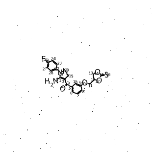 Nc1c(C(=O)c2cccc(OCC3COC(=S)O3)c2)cnn1-c1ccc(F)cc1